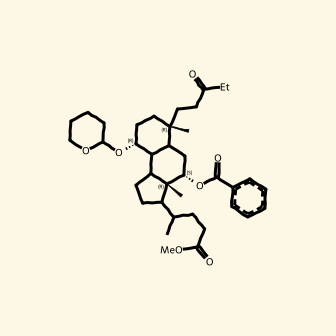 CCC(=O)CC[C@@]1(C)CC[C@@H](OC2CCCCO2)C2C1C[C@H](OC(=O)c1ccccc1)[C@]1(C)C(C(C)CCC(=O)OC)CCC21